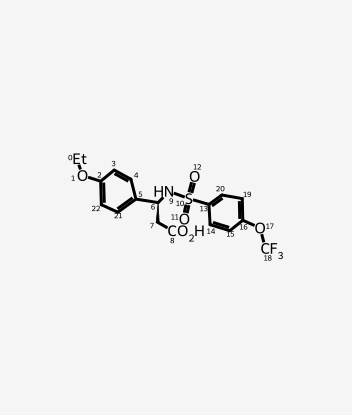 CCOc1ccc([C@H](CC(=O)O)NS(=O)(=O)c2ccc(OC(F)(F)F)cc2)cc1